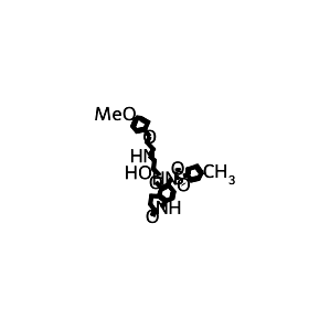 COc1ccc(OCCNCC(O)COc2c(NS(=O)(=O)c3ccc(C)cc3)ccc3c2CCC(=O)N3)cc1